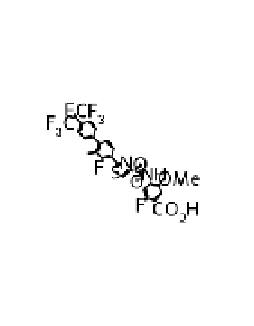 COc1cc(C(=O)O)c(F)cc1NS(=O)(=O)c1csc(-c2ccc(-c3ccc(C(F)(C(F)(F)F)C(F)(F)F)cc3)c(C)c2F)n1